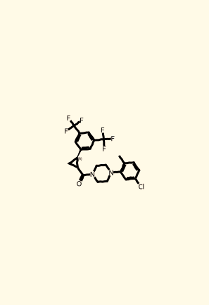 Cc1ccc(Cl)cc1N1CCN(C(=O)C2C[C@H]2c2cc(C(F)(F)F)cc(C(F)(F)F)c2)CC1